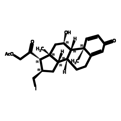 CC(=O)OCC(=O)[C@H]1[C@H](CI)C[C@H]2[C@@H]3CCC4=CC(=O)C=C[C@]4(C)[C@H]3[C@@H](O)C[C@@]21C